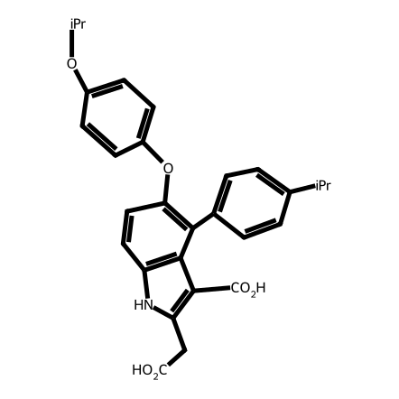 CC(C)Oc1ccc(Oc2ccc3[nH]c(CC(=O)O)c(C(=O)O)c3c2-c2ccc(C(C)C)cc2)cc1